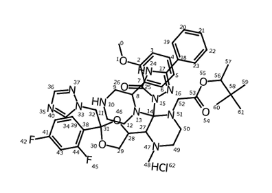 COc1ccccc1C1CNCCN1C1(n2nc(-c3ccccc3)[nH]c2=O)C(C2COC(Cn3cncn3)(c3ccc(F)cc3F)O2)N(C)CCN1CC(=O)OC(C)C(C)(C)C.Cl